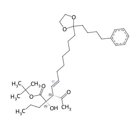 CCC[C@@](O)(C(=O)OC(C)(C)C)[C@H](/C=C/CCCCCCC1(CCCCc2ccccc2)OCCO1)C(C)=O